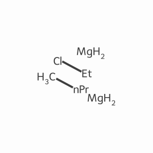 CCCC.CCCl.[MgH2].[MgH2]